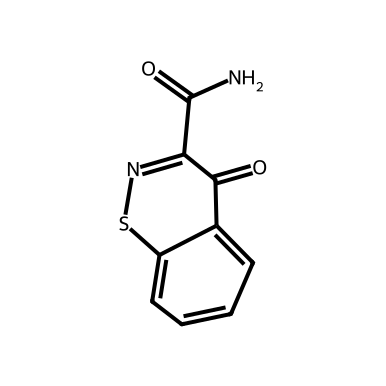 NC(=O)c1nsc2ccccc2c1=O